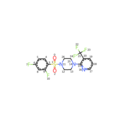 O=S(=O)(c1ccc(F)cc1F)N1CCN(c2ncccc2C(F)(F)F)CC1